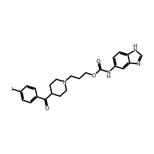 O=C(Nc1ccc2[nH]cnc2c1)OCCCN1CCC(C(=O)c2ccc(I)cc2)CC1